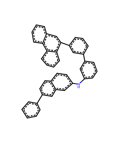 c1ccc(-c2ccc3ccc(Nc4cccc(-c5cccc(-c6cc7ccccc7c7ccccc67)c5)c4)cc3c2)cc1